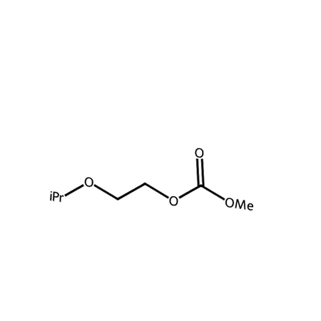 COC(=O)OCCOC(C)C